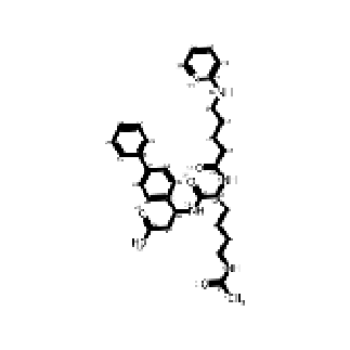 CC(=O)NCCCC[C@H](NC(=O)CCCCNc1ccccn1)C(=O)NC(CC(=O)O)c1ccc(-c2ccccc2)cc1